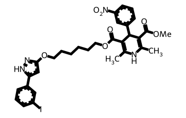 COC(=O)C1=C(C)NC(C)=C(C(=O)OCCCCCCOc2cc(-c3cccc(I)c3)[nH]n2)C1c1cccc([N+](=O)[O-])c1